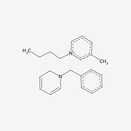 C1=CCN(Cc2ccccc2)C=C1.CCCC[n+]1cccc(C)c1